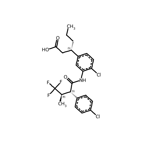 CCC[C@@H](CC(=O)O)c1ccc(Cl)c(NC(=O)[C@H](c2ccc(Cl)cc2)[C@@H](C)C(F)(F)F)c1